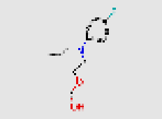 CCCN(CCOCO)c1ccc(F)cc1